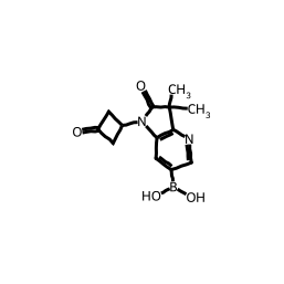 CC1(C)C(=O)N(C2CC(=O)C2)c2cc(B(O)O)cnc21